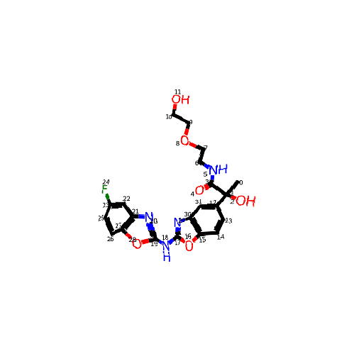 CC(O)(C(=O)NCCOCCO)c1ccc2oc(Nc3nc4cc(F)ccc4o3)nc2c1